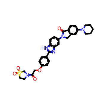 O=C(COc1ccc(-c2nc3cc(N4Cc5cc(N6CCCCC6)ccc5C4=O)ccc3[nH]2)cc1)N1CCS(=O)(=O)C1